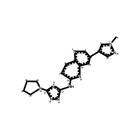 Cn1cc(-c2cnc3ccc(Nc4nnc(N5CCCC5)s4)nc3c2)cn1